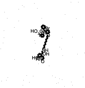 O=C(O)N(C(c1ccccc1)c1cc(OCCCCCCCCCNC[C@H](O)c2ccc(O)c3[nH]c(=O)ccc23)ccc1Br)[C@H]1CN2CCC1CC2